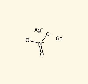 O=[N+]([O-])[O-].[Ag+].[Gd]